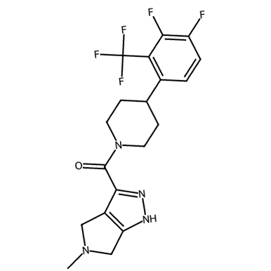 CN1Cc2[nH]nc(C(=O)N3CCC(c4ccc(F)c(F)c4C(F)(F)F)CC3)c2C1